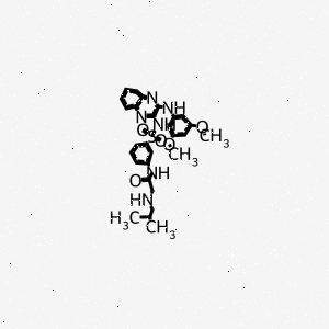 COc1cc(Nc2nc3ccccc3nc2NS(=O)(=O)c2cccc(NC(=O)CNCC(C)C)c2)cc(OC)c1